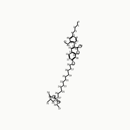 CCCCCc1ccc(-c2cc3ccc(OCCCCCCCCCCCC[Si](CCC)(OCC)OCC)cc3oc2=O)c(CC)c1